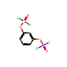 O=P(Cl)(Cl)Oc1cccc(OP(=O)(Cl)Cl)c1